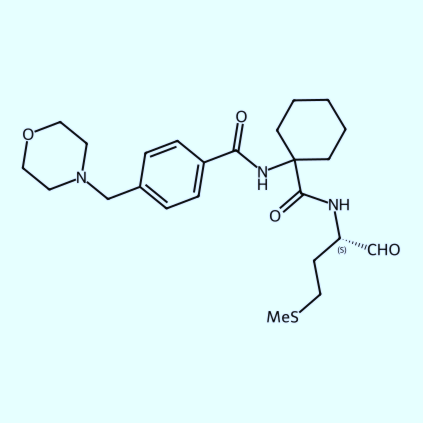 CSCC[C@@H](C=O)NC(=O)C1(NC(=O)c2ccc(CN3CCOCC3)cc2)CCCCC1